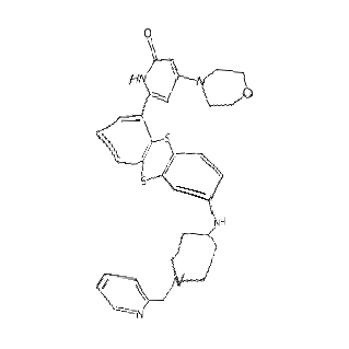 O=c1cc(N2CCOCC2)cc(-c2cccc3c2Sc2ccc(NC4CCN(Cc5ccccn5)CC4)cc2S3)[nH]1